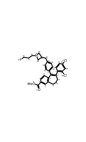 COC(=O)c1ccc2c(c1)CCCC(c1ccc(Cl)cc1Cl)=C2c1ccc(CC2CN(CCCF)C2)cc1